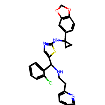 Clc1ccccc1C(NCCc1ccccn1)c1cnc(NC2(c3ccc4c(c3)OCO4)CC2)s1